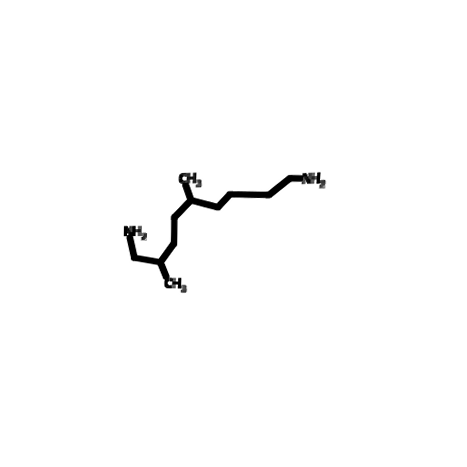 CC(CN)CCC(C)CCCCN